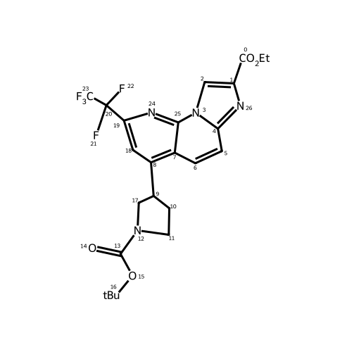 CCOC(=O)c1cn2c(ccc3c(C4CCN(C(=O)OC(C)(C)C)C4)cc(C(F)(F)C(F)(F)F)nc32)n1